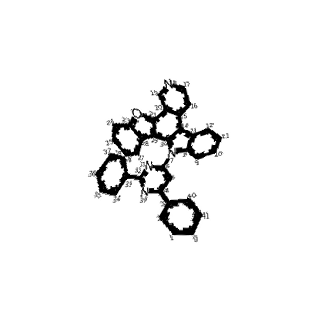 c1ccc(-c2cc(-n3c4ccccc4c4c5ccncc5c5oc6ccccc6c5c43)nc(-c3ccccc3)n2)cc1